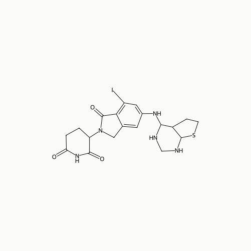 O=C1CCC(N2Cc3cc(NC4NCNC5SCCC45)cc(I)c3C2=O)C(=O)N1